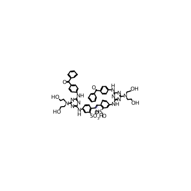 O=C(c1ccccc1)c1ccc(Nc2nc(Nc3ccc(/C=C/c4ccc(Nc5nc(Nc6ccc(C(=O)c7ccccc7)cc6)nc(N(CCO)CCO)n5)cc4S(=O)(=O)O)c([SH](=O)=O)c3)nc(N(CCO)CCO)n2)cc1